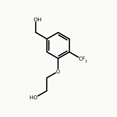 OCCOc1cc(CO)ccc1C(F)(F)F